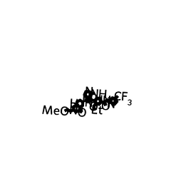 CCOc1cc(C(=O)Nc2cc(C(F)(F)F)ccn2)ccc1-c1nc([C@@H]2CC[C@H]3CN(CCOC)CC(=O)N3C2)n2ccnc(N)c12